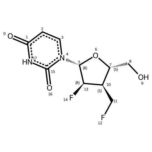 O=c1ccn([C@@H]2O[C@H](CO)[C@@H](CF)[C@H]2F)c(=O)[nH]1